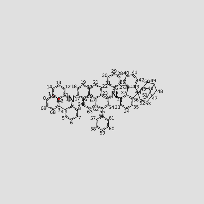 c1ccc(-c2ccccc2N(c2ccccc2)c2ccc3ccc4c(N(c5ccccc5)c5cccc6c5-c5ccccc5C65C6CC7CC(C6)CC5C7)cc(-c5ccccc5)c5ccc2c3c54)cc1